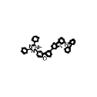 c1ccc(C2=NC(c3ccc4oc5ccc(-c6ccc7c(c6)sc6c(-n8c9ccccc9c9ccccc98)cccc67)cc5c4c3)NC(c3ccccc3)=N2)cc1